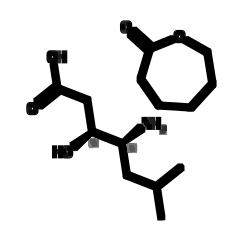 CC(C)C[C@H](N)[C@@H](O)CC(=O)O.O=C1CCCCCO1